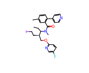 CCC([C@H](CCI)COc1ccc(F)cn1)N(C)C(=O)c1cc(C)ccc1-c1ccncc1